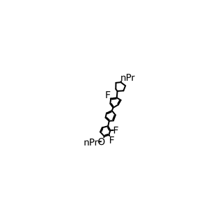 CCCOc1ccc(-c2ccc(-c3ccc(C4CCC(CCC)CC4)c(F)c3)cc2)c(F)c1F